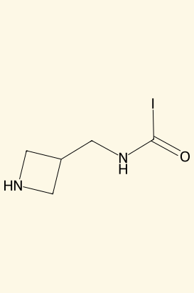 O=C(I)NCC1CNC1